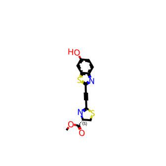 COC(=O)[C@H]1CSC(C#Cc2nc3ccc(O)cc3s2)=N1